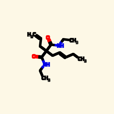 C=CCC(CC=CCC)(C(=O)NCC)C(=O)NCC